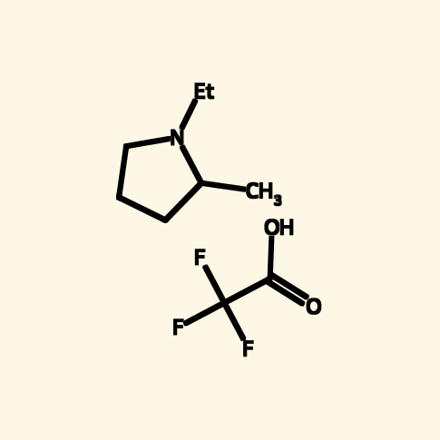 CCN1CCCC1C.O=C(O)C(F)(F)F